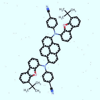 CC(C)(C)c1cccc2c1oc1c(N(c3ccc(C#N)cc3)c3ccc4ccc5c(N(c6ccc(C#N)cc6)c6cccc7c6oc6c(C(C)(C)C)cccc67)ccc6ccc3c4c65)cccc12